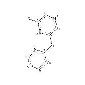 Cc1cncc(Cc2ncccn2)n1